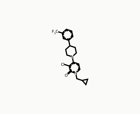 O=c1c(Cl)c(N2CCC(c3cccc(C(F)(F)F)c3)CC2)ccn1CC1CC1